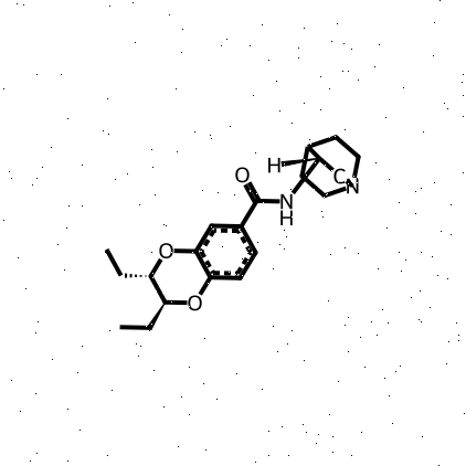 CC[C@@H]1Oc2ccc(C(=O)N[C@H]3CN4CCC3CC4)cc2O[C@H]1CC